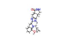 COc1cccc2cc(-c3nc4cc5c(cc4n3C)CCNC5=O)n(CC3CC3)c12